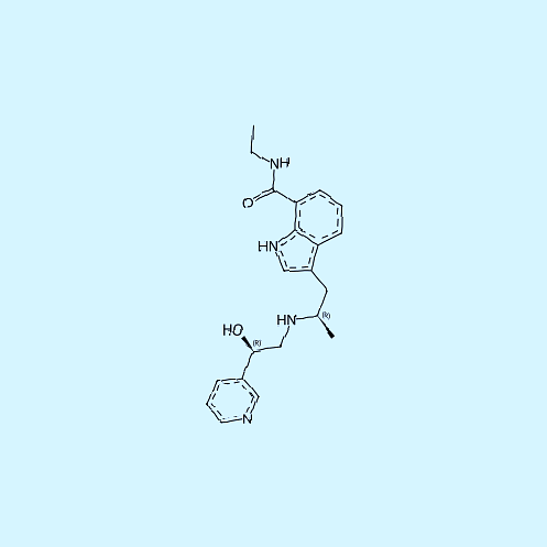 CCNC(=O)c1cccc2c(C[C@@H](C)NC[C@H](O)c3cccnc3)c[nH]c12